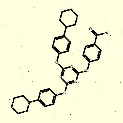 NC(=O)c1ccc(Oc2nc(Oc3ccc(C4CCCCC4)cc3)nc(Oc3ccc(C4CCCCC4)cc3)n2)cc1